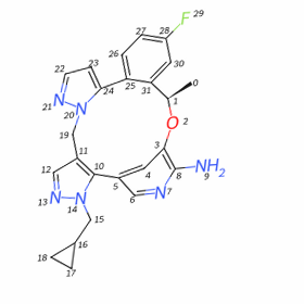 C[C@H]1Oc2cc(cnc2N)-c2c(cnn2CC2CC2)Cn2nccc2-c2ccc(F)cc21